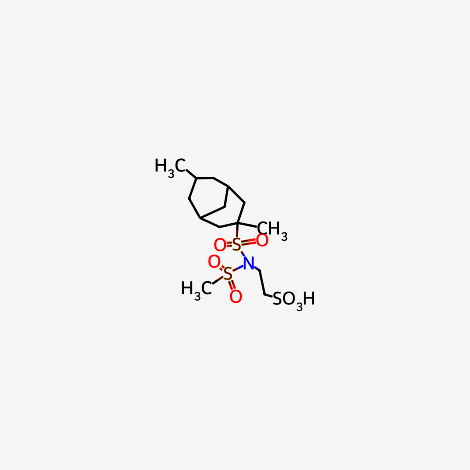 CC1CC2CC(C1)CC(C)(S(=O)(=O)N(CCS(=O)(=O)O)S(C)(=O)=O)C2